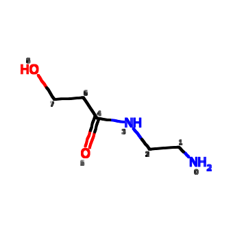 NCCNC(=O)CCO